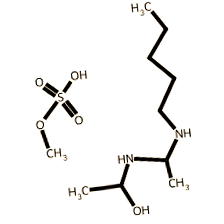 CCCCCNC(C)NC(C)O.COS(=O)(=O)O